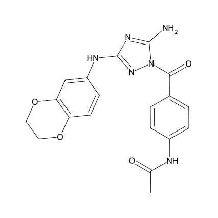 CC(=O)Nc1ccc(C(=O)n2nc(Nc3ccc4c(c3)OCCO4)nc2N)cc1